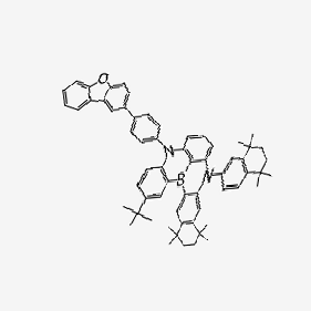 CC(C)(C)c1ccc2c(c1)B1c3cc4c(cc3N(c3ccc5c(c3)C(C)(C)CCC5(C)C)c3cccc(c31)N2c1ccc(-c2ccc3oc5ccccc5c3c2)cc1)C(C)(C)CCC4(C)C